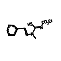 CCOC(=O)N=C(S)N(C)N=Cc1ccccc1